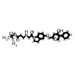 CC(C)(C)OC(=O)CCNCC(=O)N1CCc2cc(OCc3ccc(-c4ccccc4)c(O)c3)ccc21